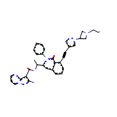 CC(NC(=O)c1c(N)nn2cccnc12)c1cc2cccc(C#Cc3cnn(C4CN(CCO)C4)c3)c2c(=O)n1-c1ccccc1